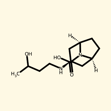 CC(O)CCN[C@H]1C[C@H]2CC[C@@H](C1)N2C(=O)O